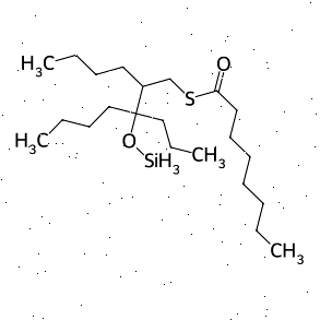 CCCCCCCC(=O)SCC(CCCC)C(CCC)(CCCC)O[SiH3]